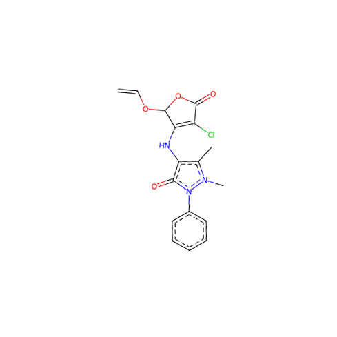 C=COC1OC(=O)C(Cl)=C1Nc1c(C)n(C)n(-c2ccccc2)c1=O